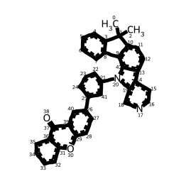 CC1(C)c2ccccc2-c2c1ccc1c3ccncc3n(-c3cccc(-c4ccc5oc6ccccc6c(=O)c5c4)c3)c21